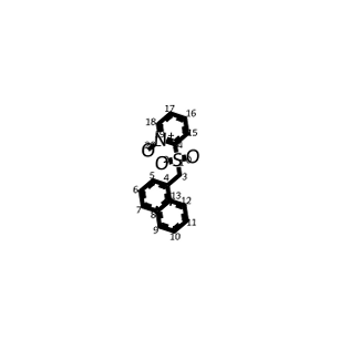 O=S(=O)(Cc1cccc2ccccc12)c1cccc[n+]1[O-]